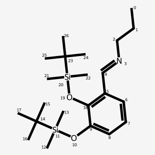 CCCN=Cc1cccc(O[Si](C)(C)C(C)(C)C)c1O[Si](C)(C)C(C)(C)C